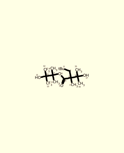 CC(C)(C)CC(C)(C(=O)OC(C)(C)C(O)(C(F)(F)F)C(F)(F)F)C(C)(C)O